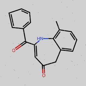 Cc1cccc2c1NC(C(=O)c1ccccc1)=CC(=O)C2